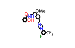 COC(CCCNC(=O)c1ccccc1O)C1CCC(CCN2CCN(c3cc(F)cc(C(F)(F)F)c3)CC2)CC1